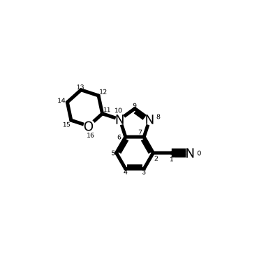 N#Cc1cccc2c1ncn2C1CCCCO1